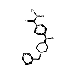 CCN(CC)C(=O)c1ccc(C(Br)=C2CCN(Cc3ccccc3)CC2)cc1